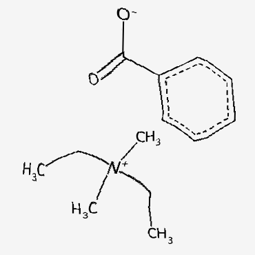 CC[N+](C)(C)CC.O=C([O-])c1ccccc1